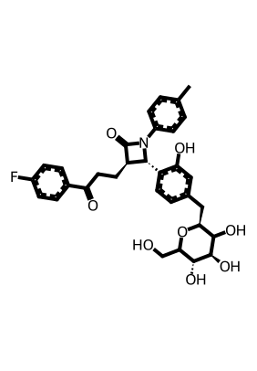 Cc1ccc(N2C(=O)[C@H](CCC(=O)c3ccc(F)cc3)[C@H]2c2ccc(C[C@@H]3OC(CO)[C@@H](O)[C@H](O)C3O)cc2O)cc1